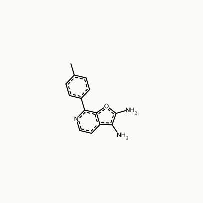 Cc1ccc(-c2nccc3c(N)c(N)oc23)cc1